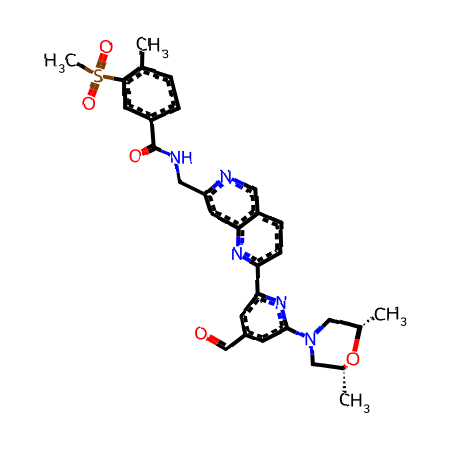 Cc1ccc(C(=O)NCc2cc3nc(-c4cc(C=O)cc(N5C[C@@H](C)O[C@@H](C)C5)n4)ccc3cn2)cc1S(C)(=O)=O